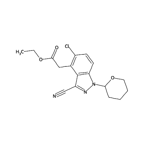 CCOC(=O)Cc1c(Cl)ccc2c1c(C#N)nn2C1CCCCO1